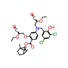 CCOC(=C=O)COc1cc(N(CC(=C=O)OCC)Cc2cc(Cl)cc(Cl)c2O)ccc1C(=O)OC1CC2CCC1(C)C2(C)C